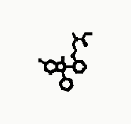 C=CC(=O)N(C)CCOc1cnccc1-c1[nH]c2cc(F)cnc2c1-c1ccccc1